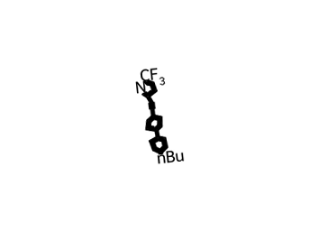 CCCCc1ccc(-c2ccc(C#Cc3ccc(C(F)(F)F)nc3)cc2)cc1